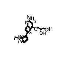 Nc1cc(OC[C@H](O)CO)c2sc(-c3ccn[nH]3)cc2n1